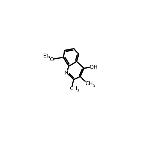 CCOc1cccc2c(O)c(C)c(C)nc12